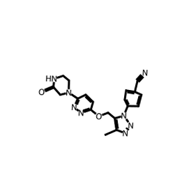 Cc1nnn(-c2ccc(C#N)cc2)c1COc1ccc(N2CCNC(=O)C2)nn1